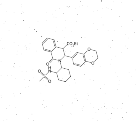 CCOC(=O)C1c2ccccc2C(=O)N(C2CCCCC2NS(C)(=O)=O)C1c1ccc2c(c1)OCCO2